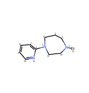 CCN1CCCN(c2ccccn2)CC1